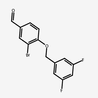 O=Cc1ccc(OCc2cc(F)cc(F)c2)c(Br)c1